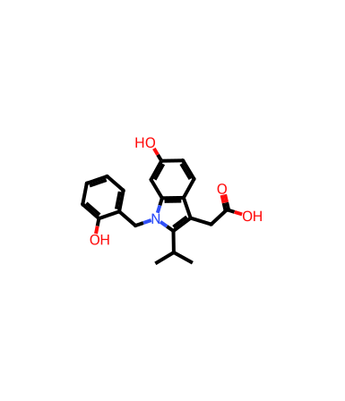 CC(C)c1c(CC(=O)O)c2ccc(O)cc2n1Cc1ccccc1O